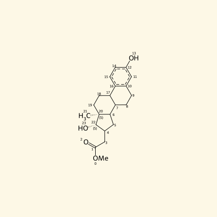 COC(=O)CC1CC2C3CCc4cc(O)ccc4C3CC[C@]2(C)[C@H]1O